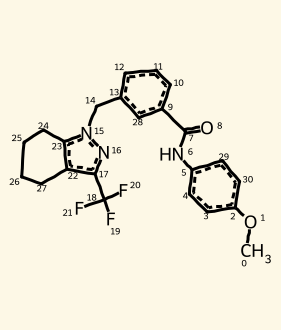 COc1ccc(NC(=O)c2cccc(Cn3nc(C(F)(F)F)c4c3CCCC4)c2)cc1